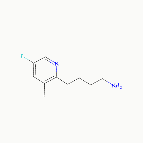 Cc1cc(F)cnc1CCCCN